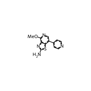 COc1ncc(-c2ccncc2)c2sc(N)nc12